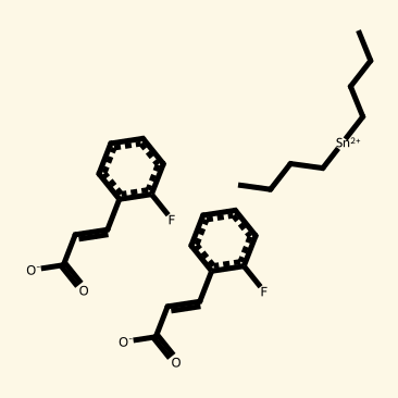 CCC[CH2][Sn+2][CH2]CCC.O=C([O-])/C=C/c1ccccc1F.O=C([O-])/C=C/c1ccccc1F